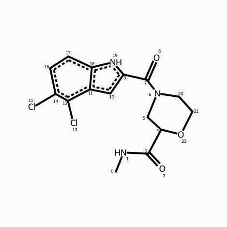 CNC(=O)C1CN(C(=O)c2cc3c(Cl)c(Cl)ccc3[nH]2)CCO1